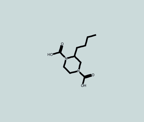 CCCCC1CN(C(=O)O)CCN1C(=O)O